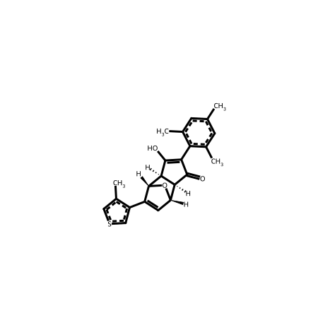 Cc1cc(C)c(C2=C(O)[C@H]3[C@@H](C2=O)[C@@H]2C=C(c4cscc4C)[C@H]3O2)c(C)c1